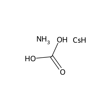 N.O=C(O)O.[CsH]